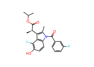 Cc1c([C@@H](C)C(=O)OC(C)C)c2c(F)c(O)ccc2n1C(=O)c1cccc(F)c1